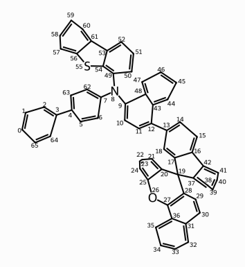 c1ccc(-c2ccc(N(c3ccc(-c4ccc5c(c4)C4(c6ccccc6Oc6c4ccc4ccccc64)c4ccccc4-5)c4ccccc34)c3cccc4c3sc3ccccc34)cc2)cc1